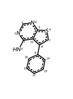 [NH]c1ncnc2scc(-c3ccccc3)c12